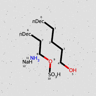 CCCCCCCCCCCCCCO.CCCCCCCCCCCCOS(=O)(=O)O.N.[NaH]